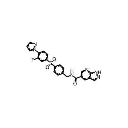 O=C(NCc1ccc(S(=O)(=O)c2ccc(-n3cccn3)c(F)c2)cc1)c1cnc2[nH]ncc2c1